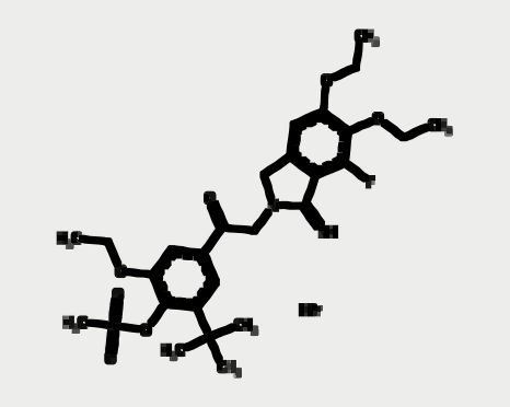 Br.CCOc1cc(C(=O)CN2Cc3cc(OCC)c(OCC)c(F)c3C2=N)cc(C(C)(C)C)c1OS(C)(=O)=O